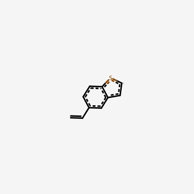 C=Cc1ccc2s[c]cc2c1